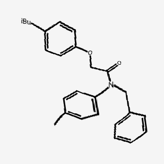 CCC(C)c1ccc(OCC(=O)N(Cc2ccccc2)c2ccc(C)cc2)cc1